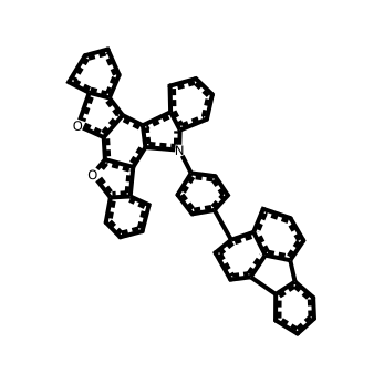 c1ccc2c(c1)-c1cccc3c(-c4ccc(-n5c6ccccc6c6c7c8ccccc8oc7c7oc8ccccc8c7c65)cc4)ccc-2c13